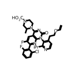 C=COCCc1ccnc(C(C)C)c1-n1c(=O)nc(N2CCN(C(=O)O)CC2C)c2cc(F)c(-c3c(F)cccc3Cl)nc21